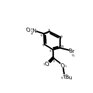 CC(C)(C)OC(=O)c1cc([N+](=O)[O-])ccc1Br